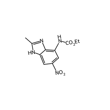 CCOC(=O)Nc1cc([N+](=O)[O-])cc2[nH]c(C)nc12